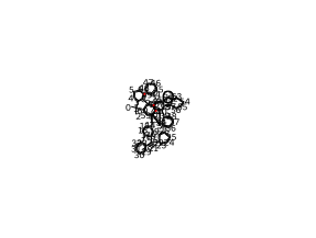 CC1(C)c2ccccc2-c2ccc(N(c3ccc4c(c3)C(C)(c3ccccc3)c3ccccc3-4)c3ccccc3-c3ccc(-c4ccccc4)c4oc5ccccc5c34)cc21